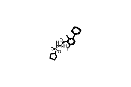 Cc1c(-c2ccccc2)ccc(F)c1C(=O)NNS(=O)(=O)C1CCCC1